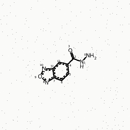 NNC(=O)c1ccc2nonc2c1